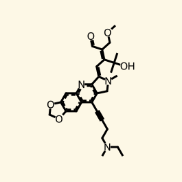 CCN(C)CCC#Cc1c2c(nc3cc4c(cc13)OCO4)/C(=C/C(=C(\C=O)COC)C(C)(C)O)N(C)C2